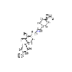 CCc1ccc(-c2ccc(CC/C=C/C3CCC(C)CC3)c(F)c2F)cc1